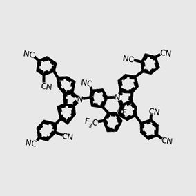 N#Cc1ccc(-c2ccc3c(c2)c2cc(-c4ccc(C#N)cc4C#N)ccc2n3-c2cc(-c3c(C(F)(F)F)cccc3C(F)(F)F)c(-n3c4ccc(-c5ccc(C#N)cc5C#N)cc4c4cc(-c5ccc(C#N)cc5C#N)ccc43)cc2C#N)c(C#N)c1